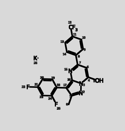 Cc1nn2c(O)cc(-c3ccc(C(F)(F)F)cc3)nc2c1-c1ccc(F)cc1F.[K]